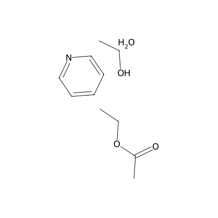 CCO.CCOC(C)=O.O.c1ccncc1